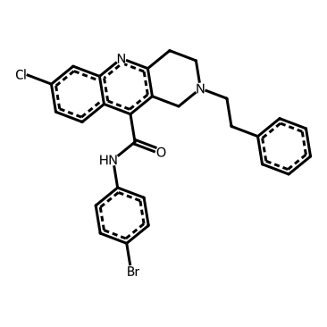 O=C(Nc1ccc(Br)cc1)c1c2c(nc3cc(Cl)ccc13)CCN(CCc1ccccc1)C2